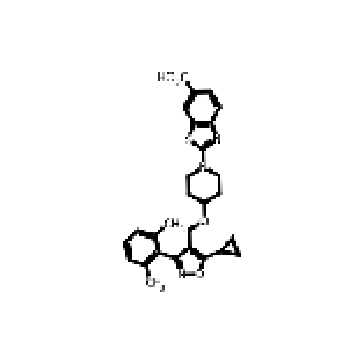 Cc1cccc(C(F)(F)F)c1-c1noc(C2CC2)c1COC1CCN(c2nc3ccc(C(=O)O)cc3s2)CC1